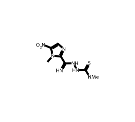 CNC(=S)NNC(=N)c1ncc([N+](=O)[O-])n1C